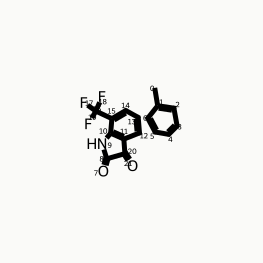 Cc1ccccc1.O=C1Nc2c(cccc2C(F)(F)F)C1=O